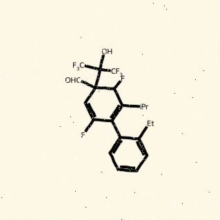 CCc1ccccc1C1=C(C(C)C)C(F)C(C=O)(C(O)(C(F)(F)F)C(F)(F)F)C=C1F